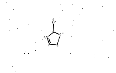 BrC1N=C[C]S1